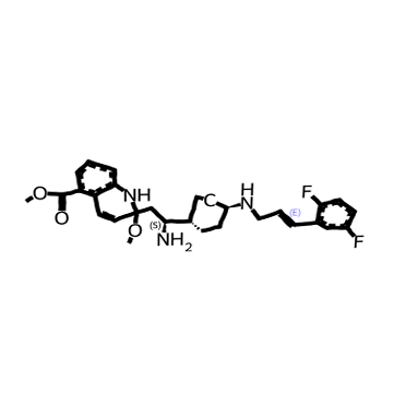 COC(=O)c1cccc2c1C=CC(C[C@H](N)[C@H]1CC[C@H](NC/C=C/c3cc(F)ccc3F)CC1)(OC)N2